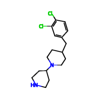 Clc1ccc(CC2CCN(C3CCNCC3)CC2)cc1Cl